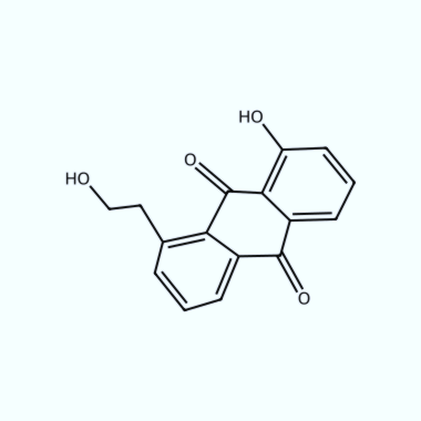 O=C1c2cccc(O)c2C(=O)c2c(CCO)cccc21